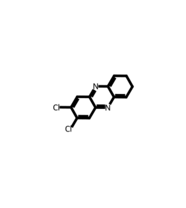 Clc1cc2nc3c(nc2cc1Cl)=CCCC=3